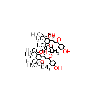 CCOc1c(C(C)(C)C)cc(C(C)(C)C)c(O)c1C=CC(=O)c1ccc(O)cc1.CCOc1c(C(C)(C)CC)cc(C(C)(C)CC)c(O)c1C=CC(=O)c1ccc(O)cc1